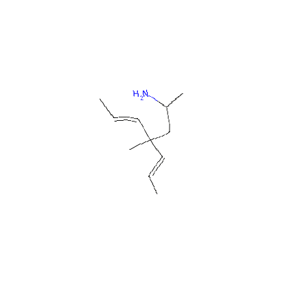 CC=CC(C)(C=CC)CC(C)N